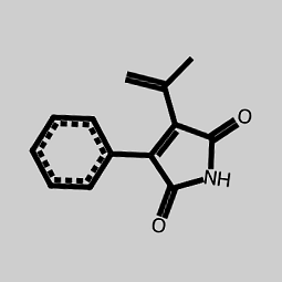 C=C(C)C1=C(c2ccccc2)C(=O)NC1=O